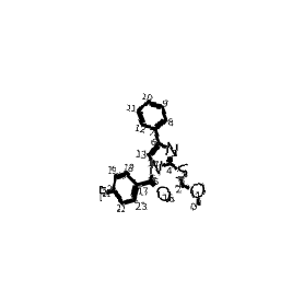 COCSc1nc(-c2ccccc2)cn1C(=O)c1ccc(F)cc1